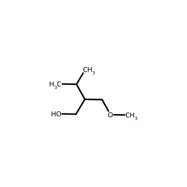 COCC(CO)C(C)C